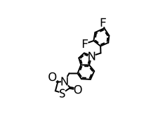 O=C1CSC(=O)N1Cc1cccc2c1ccn2Cc1ccc(F)cc1F